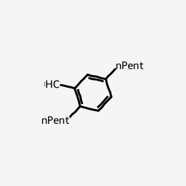 [CH]c1cc(CCCCC)ccc1CCCCC